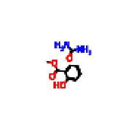 COC(=O)c1ccccc1O.NC(N)=O